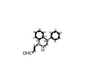 O=CC=CN1NC[C@H](c2ccccc2)c2ccccc21